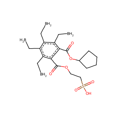 BCc1c(CB)c(CB)c(C(=O)OC2CCCC2)c(C(=O)OCCS(=O)(=O)O)c1CB